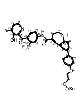 CCCCOCCOc1ccc(-c2ccc3c(c2)C=C(C(=O)Nc2ccc(C(O)c4nccc(C)c4O)c(C(F)(F)F)c2)CCN3)cc1